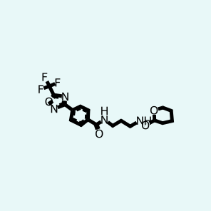 O=C(NCCCNOC1CCCCO1)c1ccc(-c2noc(C(F)(F)F)n2)cc1